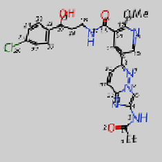 CCC(=O)Nc1cn2nc(-c3cnc(OC)c(C(=O)NCCC(O)c4ccc(Cl)cc4)c3)ccc2n1